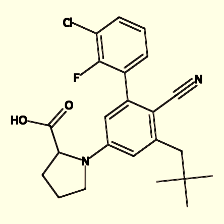 CC(C)(C)Cc1cc(N2CCCC2C(=O)O)cc(-c2cccc(Cl)c2F)c1C#N